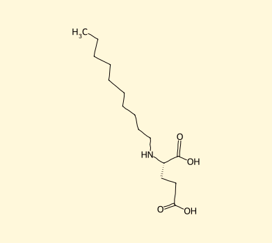 CCCCCCCCCCN[C@@H](CCC(=O)O)C(=O)O